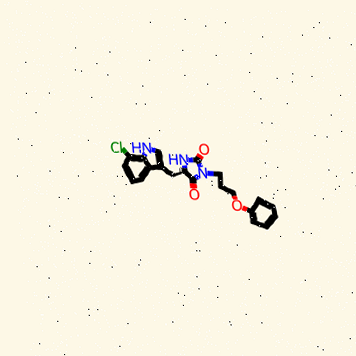 O=C1N[C@H](Cc2c[nH]c3c(Cl)cccc23)C(=O)N1CCCOc1ccccc1